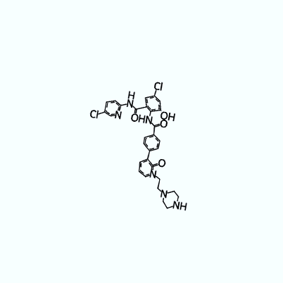 O=C(Nc1c(O)cc(Cl)cc1C(=O)Nc1ccc(Cl)cn1)c1ccc(-c2cccn(CCN3CCNCC3)c2=O)cc1